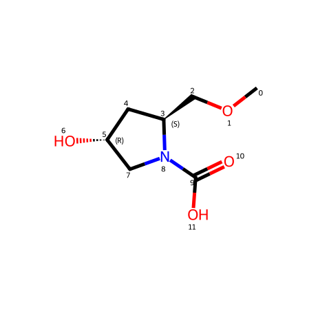 COC[C@@H]1C[C@@H](O)CN1C(=O)O